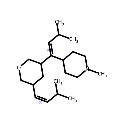 CC(C)/C=C\C1COCC(/C(=C/C(C)C)C2CCN(C)CC2)C1